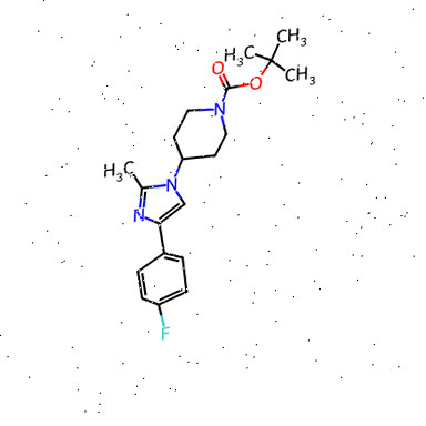 Cc1nc(-c2ccc(F)cc2)cn1C1CCN(C(=O)OC(C)(C)C)CC1